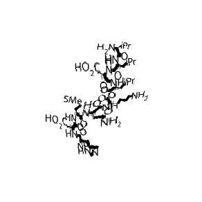 CSCC[C@H](NC(=O)[C@H](CC(=O)O)NC(=O)[C@@H](N)Cc1cnc[nH]1)C(=O)N[C@@H](CC(N)=O)C(=O)N[C@@H](CCCCN)C(=O)OC(=O)[C@H](CC(C)C)NC(=O)[C@H](CC(=O)O)NC(=O)[C@H](CC(C)C)NC(=O)[C@@H](N)C(C)C